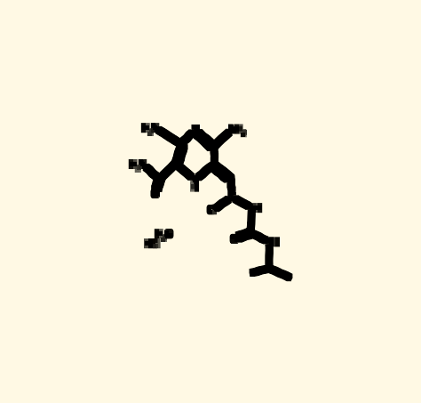 CC(C)NC(=O)NN(Cl)C=C1NC(C(N)=O)=C(N)N=C1N.Cl.O